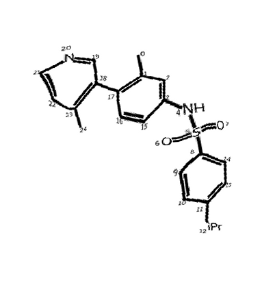 Cc1cc(NS(=O)(=O)c2ccc(C(C)C)cc2)ccc1-c1cnccc1C